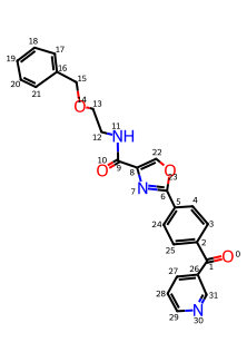 O=C(c1ccc(-c2nc(C(=O)NCCOCc3ccccc3)co2)cc1)c1cccnc1